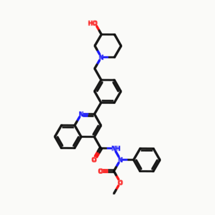 COC(=O)N(NC(=O)c1cc(-c2cccc(CN3CCCC(O)C3)c2)nc2ccccc12)c1ccccc1